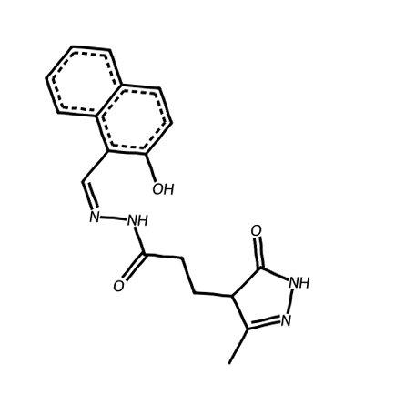 CC1=NNC(=O)C1CCC(=O)N/N=C\c1c(O)ccc2ccccc12